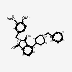 COc1ccc(CN2C(=O)c3cccc(C4CCN(Cc5ccccc5)CC4)c3C2=O)cc1OC